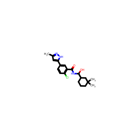 Cc1cc(-c2ccc(Cl)c(C(=O)NC(O)C3CCCC(C)(C)C3)c2)[nH]n1